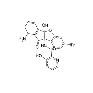 CC(C)c1ccc2c(c1)OC1(O)C3=C(C(=O)C21NC(=O)c1ncccc1O)C(N)CC=C3